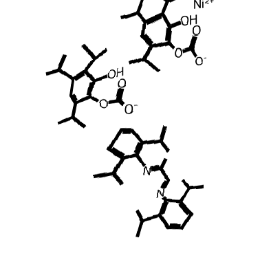 CC(C)c1cc(C(C)C)c(C(C)C)c(O)c1OC(=O)[O-].CC(C)c1cc(C(C)C)c(C(C)C)c(O)c1OC(=O)[O-].CC(C=Nc1c(C(C)C)cccc1C(C)C)=Nc1c(C(C)C)cccc1C(C)C.[Ni+2]